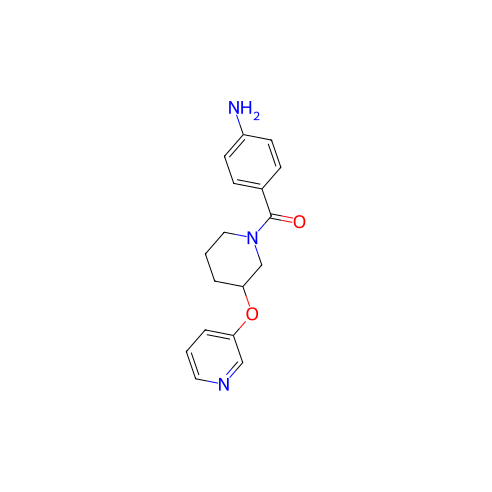 Nc1ccc(C(=O)N2CCCC(Oc3cccnc3)C2)cc1